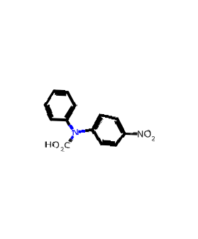 O=C(O)N(c1ccccc1)c1ccc([N+](=O)[O-])cc1